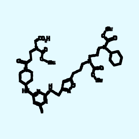 Cc1cc(NC2CCN(C(=O)CCN(CC(=O)O)C(=O)OC(C)(C)C)CC2)nc(NCc2cc(CCCN(CCCN(C(=O)OC(C)(C)C)C3CCCCC3)C(=O)OC(C)(C)C)on2)n1